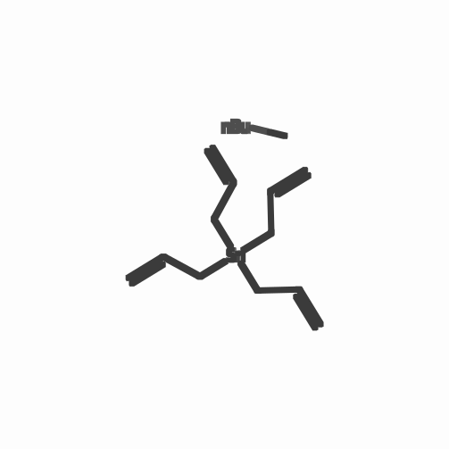 C=C[CH2][Sn]([CH2]C=C)([CH2]C=C)[CH2]C=C.CCCCC